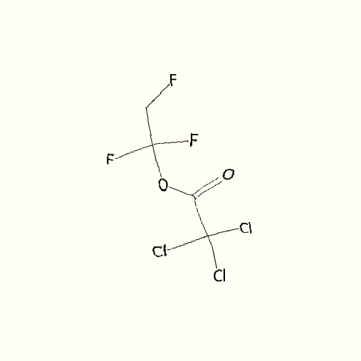 O=C(OC(F)(F)CF)C(Cl)(Cl)Cl